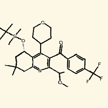 COC(C)c1nc2c(c(C3CCOCC3)c1C(=O)c1ccc(C(F)(F)F)cc1)[C@@H](O[Si](C)(C)C(C)(C)C)CC(C)(C)C2